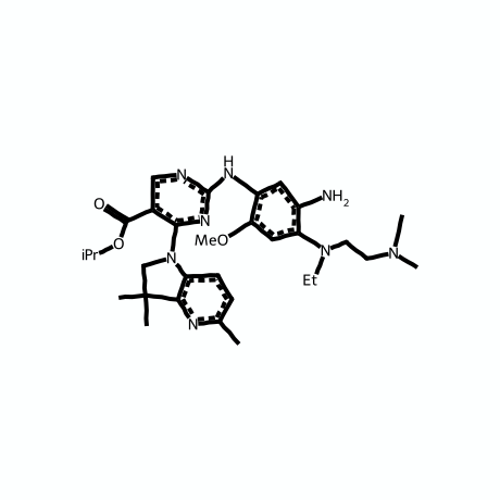 CCN(CCN(C)C)c1cc(OC)c(Nc2ncc(C(=O)OC(C)C)c(N3CC(C)(C)c4nc(C)ccc43)n2)cc1N